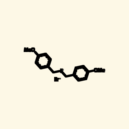 COc1ccc(C[I+]Cc2ccc(OC)cc2)cc1.[Br-]